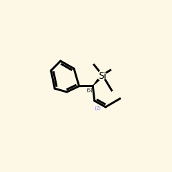 C/C=C\[C@@H](c1ccccc1)[Si](C)(C)C